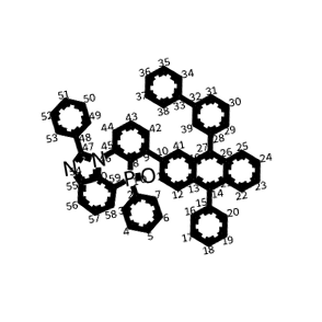 O=P1(c2ccccc2)c2c(-c3ccc4c(-c5ccccc5)c5ccccc5c(-c5cccc(-c6ccccc6)c5)c4c3)cccc2-n2c(-c3ccccc3)nc3cccc1c32